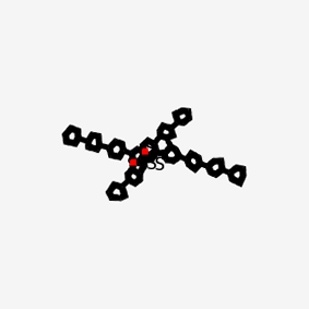 c1ccc(-c2ccc(-c3ccc(-c4ccc5c(c4)sc4c5sc5cc(-c6ccc(-c7ccc(-c8ccccc8)cc7)cc6)cc(-c6cc(-c7ccccc7)ccc6-c6ccc7c(c6)sc6c8ccc(-c9ccccc9)cc8sc76)c54)cc3)cc2)cc1